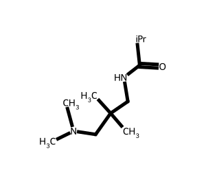 CC(C)C(=O)NCC(C)(C)CN(C)C